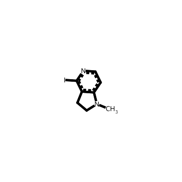 CN1CCc2c1ccnc2I